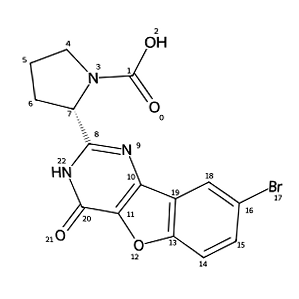 O=C(O)N1CCC[C@H]1c1nc2c(oc3ccc(Br)cc32)c(=O)[nH]1